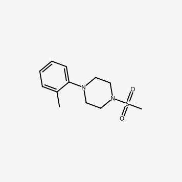 Cc1ccccc1N1CCN(S(C)(=O)=O)CC1